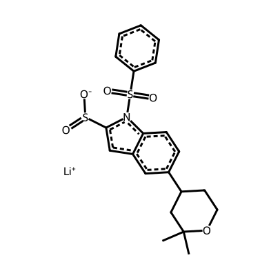 CC1(C)CC(c2ccc3c(c2)cc(S(=O)[O-])n3S(=O)(=O)c2ccccc2)CCO1.[Li+]